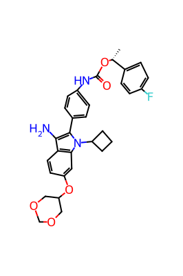 C[C@@H](OC(=O)Nc1ccc(-c2c(N)c3ccc(OC4COCOC4)cc3n2C2CCC2)cc1)c1ccc(F)cc1